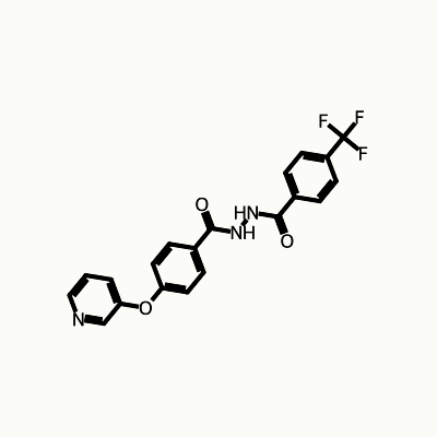 O=C(NNC(=O)c1ccc(C(F)(F)F)cc1)c1ccc(Oc2cccnc2)cc1